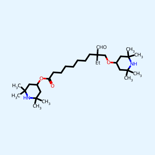 CCC(C=O)(CCCCCCCC(=O)OC1CC(C)(C)NC(C)(C)C1)COC1CC(C)(C)NC(C)(C)C1